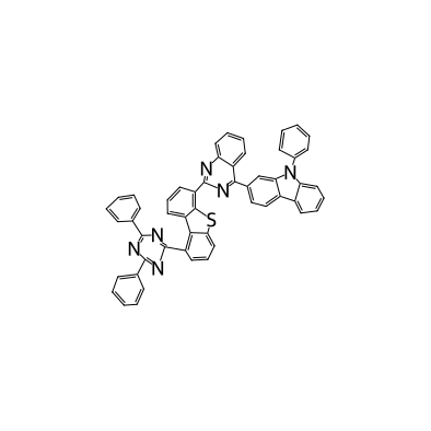 c1ccc(-c2nc(-c3ccccc3)nc(-c3cccc4sc5c(-c6nc(-c7ccc8c9ccccc9n(-c9ccccc9)c8c7)c7ccccc7n6)cccc5c34)n2)cc1